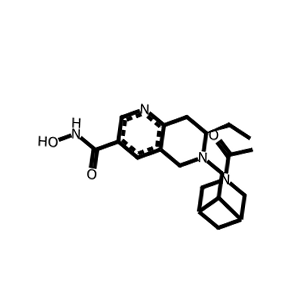 CC[C@@H]1Cc2ncc(C(=O)NO)cc2CN1CC1C2CC1CN(C(C)=O)C2